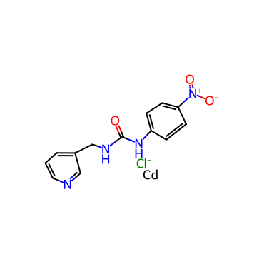 O=C(NCc1cccnc1)Nc1ccc([N+](=O)[O-])cc1.[Cd].[Cl-]